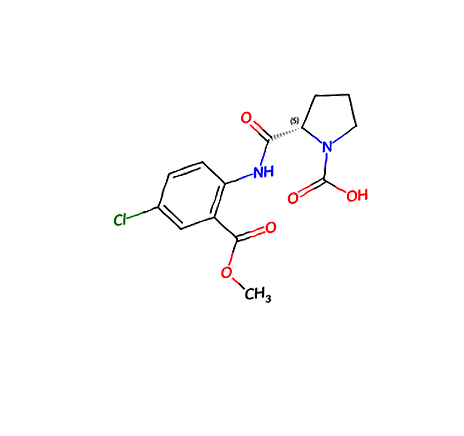 COC(=O)c1cc(Cl)ccc1NC(=O)[C@@H]1CCCN1C(=O)O